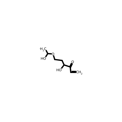 [CH2]C(O)OCCC(O)C(=O)C=C